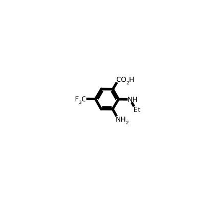 CCNc1c(N)cc(C(F)(F)F)cc1C(=O)O